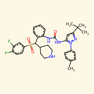 Cc1ccc(-n2nc(C(C)(C)C)cc2NC(=O)Nc2ccccc2C(C2CCNCC2)S(=O)(=O)c2ccc(F)c(F)c2)cc1